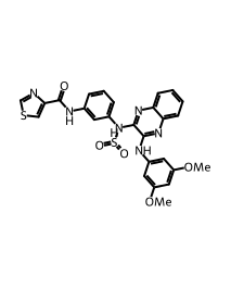 COc1cc(Nc2nc3ccccc3nc2N(c2cccc(NC(=O)c3cscn3)c2)[SH](=O)=O)cc(OC)c1